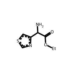 CCOC(=O)C(N)c1cscn1